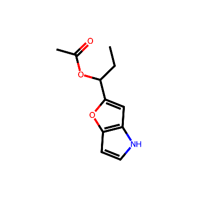 CCC(OC(C)=O)c1cc2[nH]ccc2o1